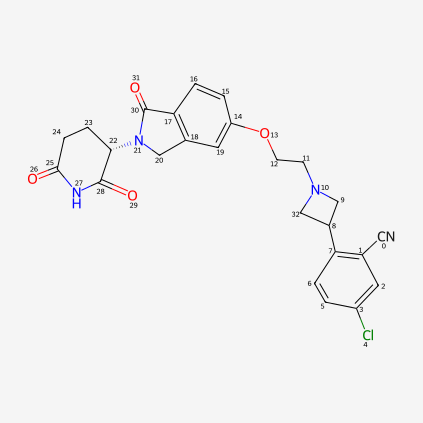 N#Cc1cc(Cl)ccc1C1CN(CCOc2ccc3c(c2)CN([C@H]2CCC(=O)NC2=O)C3=O)C1